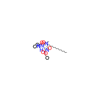 CCCCCCCCCCCCCC(CC(N)=O)N(CC)C(=O)[C@H](CCCC(=O)OCc1ccccc1)NC(=O)c1ccc2ccccc2n1